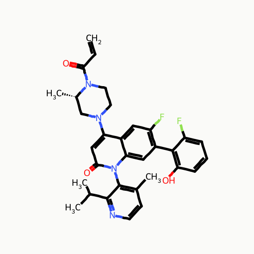 C=CC(=O)N1CCN(c2cc(=O)n(-c3c(C)ccnc3C(C)C)c3cc(-c4c(O)cccc4F)c(F)cc23)C[C@@H]1C